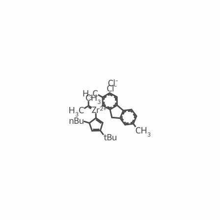 CCCCC1C=C(C(C)(C)C)C=[C]1[Zr+2](=[C](C)C)[c]1c(C)ccc2c1Cc1cc(C)ccc1-2.[Cl-].[Cl-]